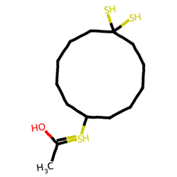 CC(O)=[SH]C1CCCCCC(S)(S)CCCCC1